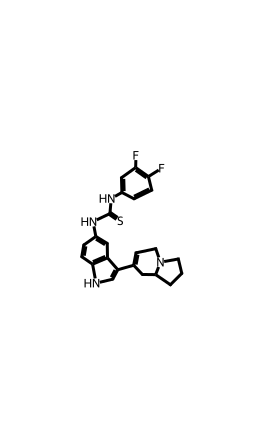 Fc1ccc(NC(=S)Nc2ccc3[nH]cc(C4=CCN5CCCC5C4)c3c2)cc1F